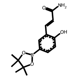 CC1(C)OB(c2ccc(O)c(C=CC(N)=O)c2)OC1(C)C